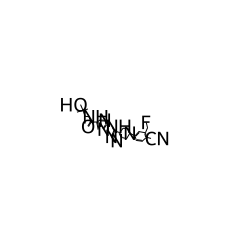 CC(C)(O)CNC(=O)c1cnc(Nc2ncnc3c2CCN(c2ccc(C#N)c(CF)c2)C3)nc1